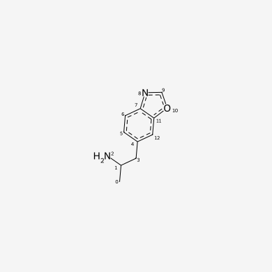 CC(N)Cc1ccc2ncoc2c1